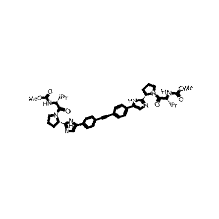 COC(=O)N[C@@H](C(=O)N1CCC[C@H]1c1ncc(-c2ccc(C#Cc3ccc(-c4cnc([C@@H]5CCCN5C(=O)[C@H](NC(=O)OC)C(C)C)[nH]4)cc3)cc2)[nH]1)C(C)C